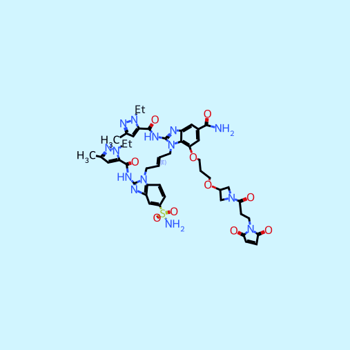 CCn1nc(C)cc1C(=O)Nc1nc2cc(S(N)(=O)=O)ccc2n1C/C=C/Cn1c(NC(=O)c2cc(C)nn2CC)nc2cc(C(N)=O)cc(OCCCOC3CN(C(=O)CCN4C(=O)C=CC4=O)C3)c21